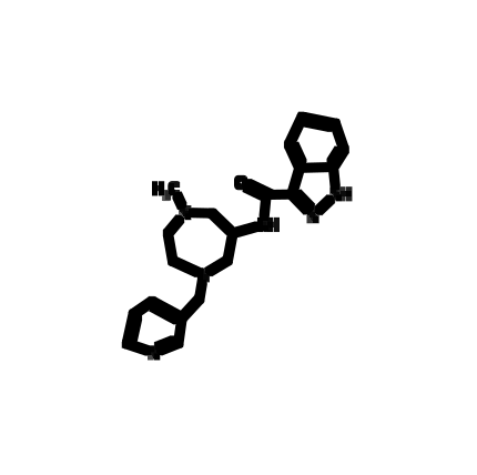 CN1CCN(Cc2cccnc2)CC(NC(=O)c2n[nH]c3ccccc23)C1